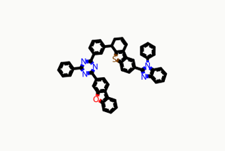 C1=Cc2c(sc3ccc(-c4nc5ccccc5n4-c4ccccc4)cc23)C(c2cccc(-c3nc(-c4ccccc4)nc(-c4ccc5c(c4)oc4ccccc45)n3)c2)C1